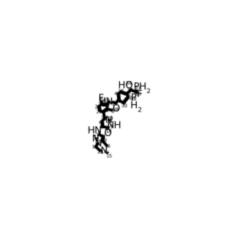 Cc1c(-c2cc(Nc3cc4n(n3)CCN(C)C4)c(=O)[nH]n2)ccc(F)c1NC(=O)c1ccc(C(O)C(F)(P)P)cc1